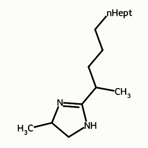 CCCCCCCCCCC(C)C1=NC(C)CN1